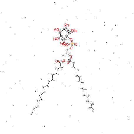 CCCCCCCCCCCCCCCC(=O)OC[C@H](COP(=O)(O)OC1[C@H](O)[C@H](O)C(O)[C@H](O)[C@H]1O)OC(=O)CCCCCCCCCCCCCCC